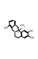 C[C@H]1c2cccc(O)c2CN2CCc3cc(O)c(O)cc3[C@@H]12